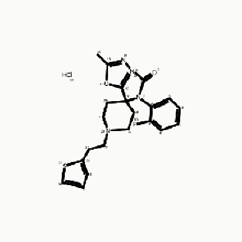 CC(=O)N(c1ccccc1F)C1(c2nnc(C)o2)CCN(CCc2cccs2)CC1.Cl